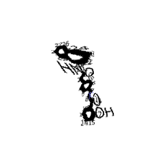 O=C(Cc1ccc(/C=C/C(=O)c2ccccc2O)cc1)Nc1cccc2ccccc12